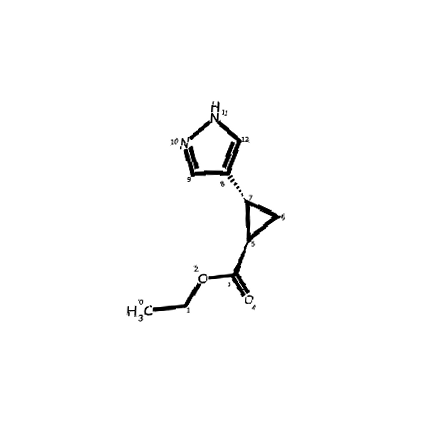 CCOC(=O)[C@@H]1C[C@H]1c1cn[nH]c1